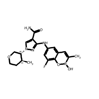 CC1=Cc2cc(Nc3nn([C@H]4COCC[C@@H]4C)cc3C(N)=O)cc(F)c2OB1O